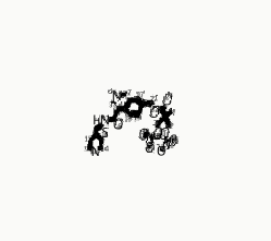 CN(C)C[C@@H](C(=O)Nc1cc2ccncc2s1)c1ccc(COC(=O)C(C)(CO[N+](=O)[O-])CO[N+](=O)[O-])cc1